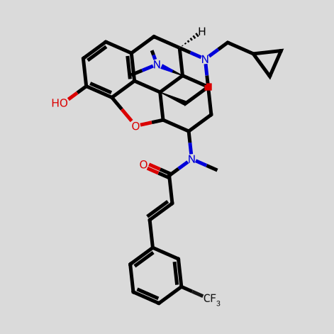 CN(C(=O)/C=C/c1cccc(C(F)(F)F)c1)C1CC[C@@]2(N(C)C)[C@H]3Cc4ccc(O)c5c4[C@@]2(CCN3CC2CC2)C1O5